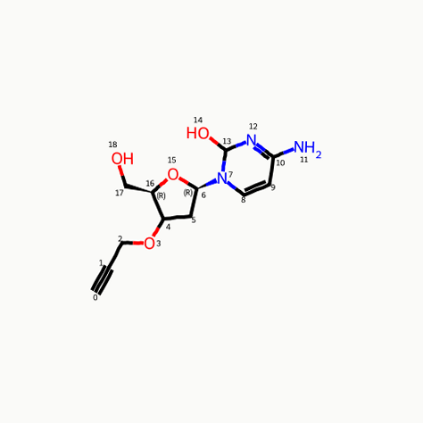 C#CCOC1C[C@H](N2C=CC(N)=NC2O)O[C@@H]1CO